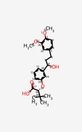 COc1ccc(CCC(O)c2cccc(O[C@@H](C(=O)O)C(C)(C)C)c2)cc1OC